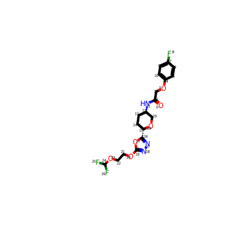 O=C(COc1ccc(F)cc1)N[C@@H]1CC[C@@H](c2nnc(OCCOC(F)F)o2)OC1